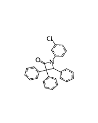 O=C1N(c2cccc(Cl)c2)C(c2ccccc2)C1(c1ccccc1)c1ccccc1